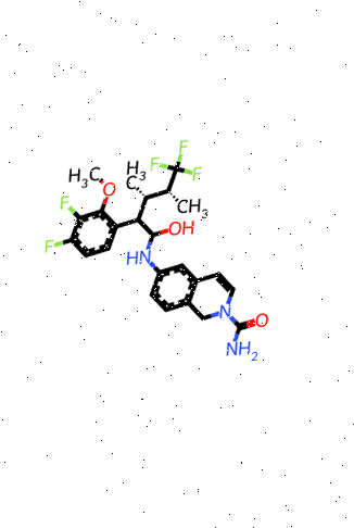 COc1c(C(C(O)Nc2ccc3c(c2)C=CN(C(N)=O)C3)[C@H](C)[C@@H](C)C(F)(F)F)ccc(F)c1F